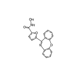 O=C(NO)c1ccc(C2=Nc3ccccc3Oc3ccccc32)o1